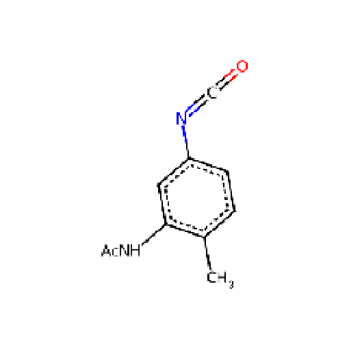 CC(=O)Nc1cc(N=C=O)ccc1C